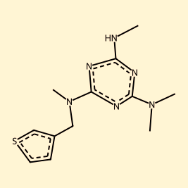 CNc1nc(N(C)C)nc(N(C)Cc2ccsc2)n1